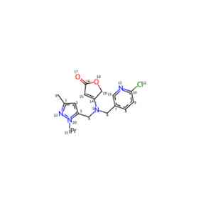 Cc1cc(CN(Cc2ccc(Cl)nc2)C2=CC(=O)OC2)n(C(C)C)n1